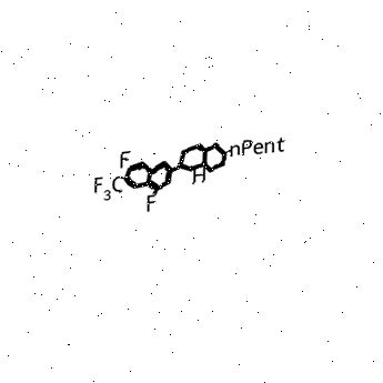 CCCCC[C@@H]1CC[C@@H]2CC(c3cc(F)c4cc(C(F)(F)F)c(F)cc4c3)CCC2C1